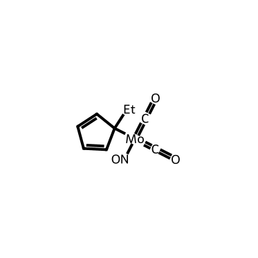 CC[C]1([Mo](=[C]=O)(=[C]=O)[N]=O)C=CC=C1